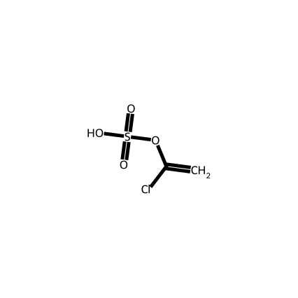 C=C(Cl)OS(=O)(=O)O